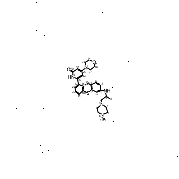 CC(CN1CCN(C(C)C)CC1)Nc1ccc2c(c1)Sc1cccc(-c3cc(N4CCOCC4)cc(=O)[nH]3)c1S2